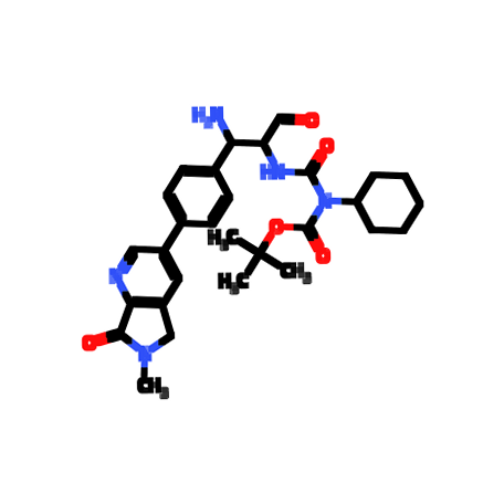 CN1Cc2cc(-c3ccc(C(N)C(C=O)NC(=O)N(C(=O)OC(C)(C)C)C4CCCCC4)cc3)cnc2C1=O